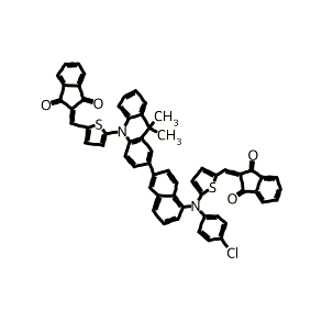 CC1(C)c2ccccc2N(c2ccc(C=C3C(=O)c4ccccc4C3=O)s2)c2ccc(-c3ccc4c(N(c5ccc(Cl)cc5)c5ccc(C=C6C(=O)c7ccccc7C6=O)s5)cccc4c3)cc21